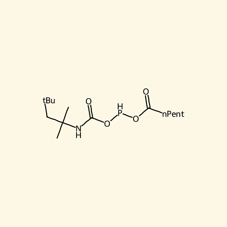 CCCCCC(=O)OPOC(=O)NC(C)(C)CC(C)(C)C